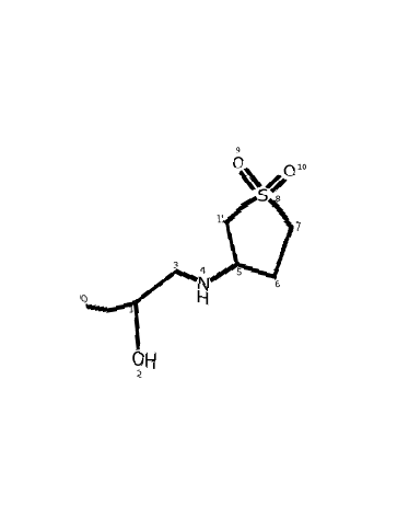 CC(O)CNC1CCS(=O)(=O)C1